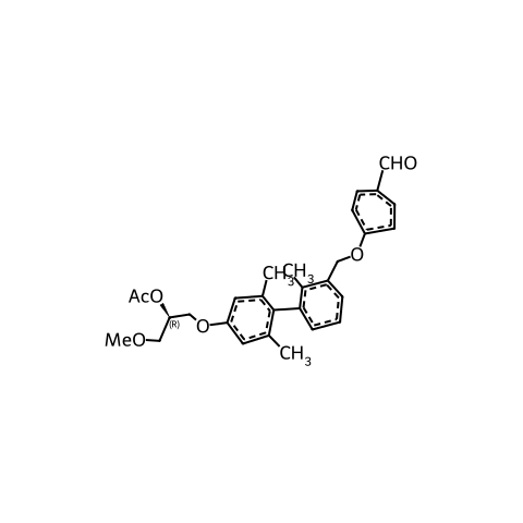 COC[C@H](COc1cc(C)c(-c2cccc(COc3ccc(C=O)cc3)c2C)c(C)c1)OC(C)=O